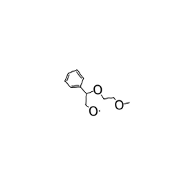 COCCOC(C[O])c1ccccc1